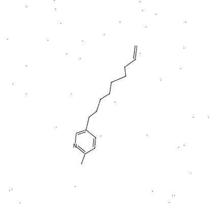 C=CCCCCCCCc1ccc(C)nc1